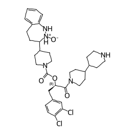 O=C(O[C@H](Cc1ccc(Cl)c(Cl)c1)C(=O)N1CCC(C2CCNCC2)CC1)N1CCC(C2CCc3ccccc3N[NH+]2[O-])CC1